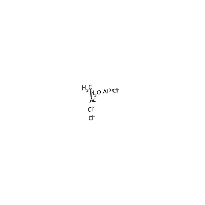 CC(C)=O.O.[Al+3].[Cl-].[Cl-].[Cl-]